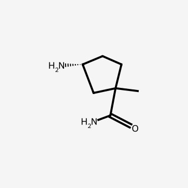 CC1(C(N)=O)CC[C@@H](N)C1